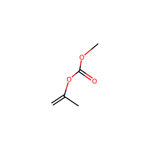 C=C(C)OC(=O)OC